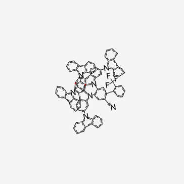 N#Cc1cc(-n2c3cc(-n4c5ccccc5c5ccccc54)ccc3c3ccc(-n4c5ccccc5c5ccccc54)cc32)c(-n2c3cc(-n4c5ccccc5c5ccccc54)ccc3c3ccc(-n4c5ccccc5c5ccccc54)cc32)cc1-c1ccccc1C(F)(F)F